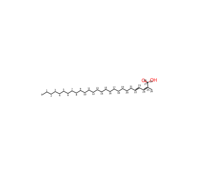 CCCCCCCCCCCCCCCCCCCCCCC=CC=C(C)C(=O)O